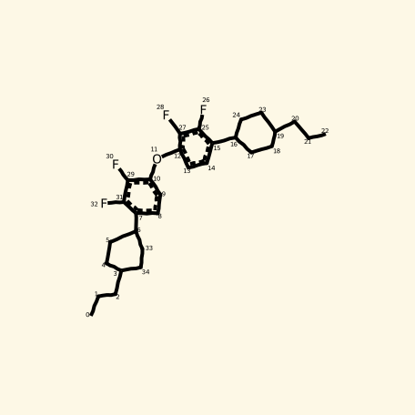 CCCC1CCC(c2ccc(Oc3ccc(C4CCC(CCC)CC4)c(F)c3F)c(F)c2F)CC1